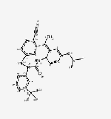 CC=C1C=C(OC(F)F)C=CC1NC(=O)N(Nc1ccc(C#N)cc1)c1cccc(C(F)(F)F)c1